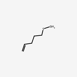 C=CCCCS[SiH3]